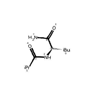 CC[C@@H](C)[C@@H](NC(=O)C(C)C)C(N)=O